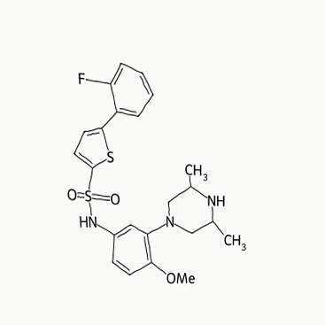 COc1ccc(NS(=O)(=O)c2ccc(-c3ccccc3F)s2)cc1N1CC(C)NC(C)C1